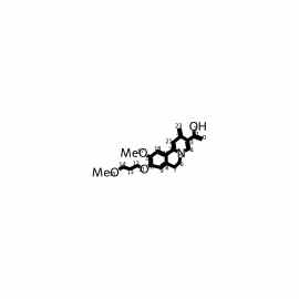 C=C(O)C1=CN2CCc3cc(OCCCOC)c(OC)cc3C2=CC1=C